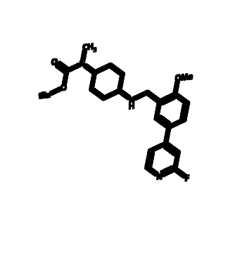 COc1ccc(-c2ccnc(F)c2)cc1CNC1CCC(N(C)C(=O)OC(C)(C)C)CC1